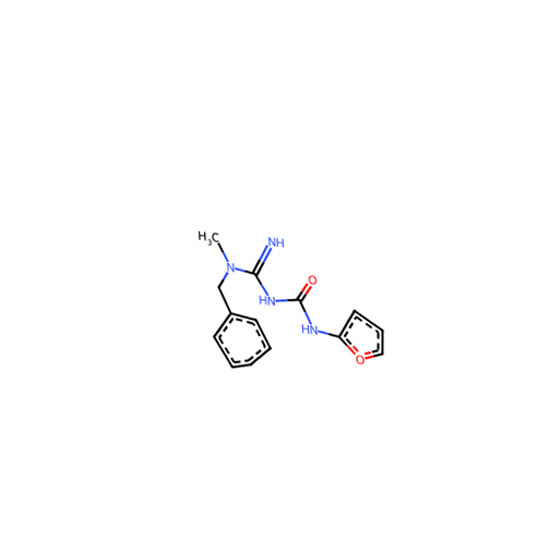 CN(Cc1ccccc1)C(=N)NC(=O)Nc1ccco1